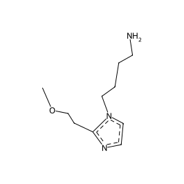 COCCc1nccn1CCCCN